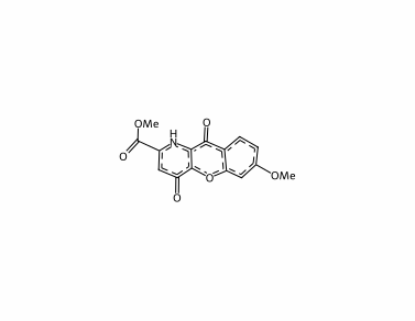 COC(=O)c1cc(=O)c2oc3cc(OC)ccc3c(=O)c2[nH]1